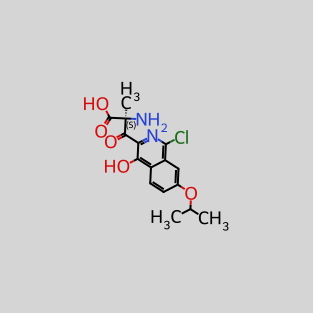 CC(C)Oc1ccc2c(O)c(C(=O)[C@](C)(N)C(=O)O)nc(Cl)c2c1